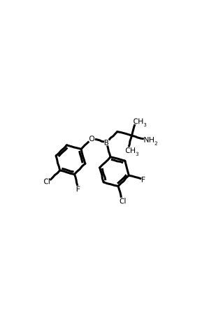 CC(C)(N)CB(Oc1ccc(Cl)c(F)c1)c1ccc(Cl)c(F)c1